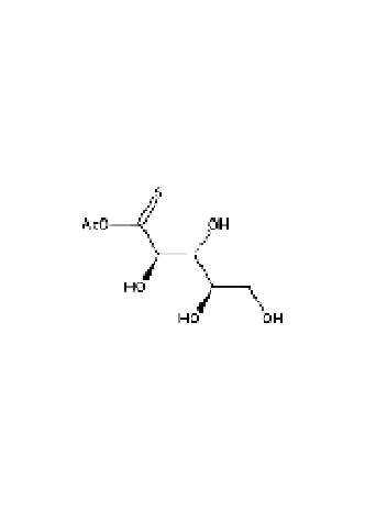 CC(=O)OC(=S)[C@H](O)[C@H](O)[C@H](O)CO